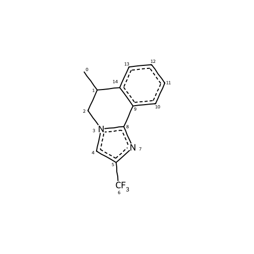 CC1Cn2cc(C(F)(F)F)nc2-c2ccccc21